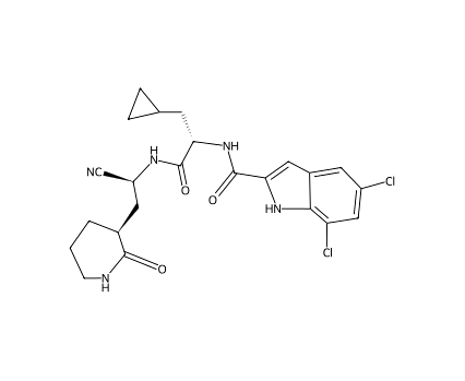 N#C[C@H](C[C@@H]1CCCNC1=O)NC(=O)[C@H](CC1CC1)NC(=O)c1cc2cc(Cl)cc(Cl)c2[nH]1